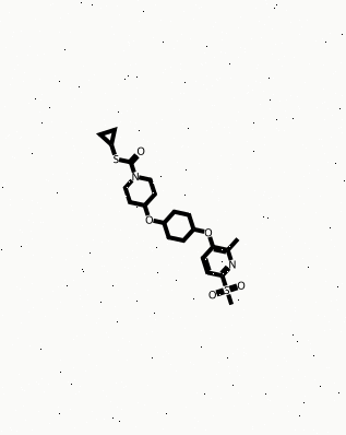 Cc1nc(S(C)(=O)=O)ccc1OC1CCC(OC2CCN(C(=O)SC3CC3)CC2)CC1